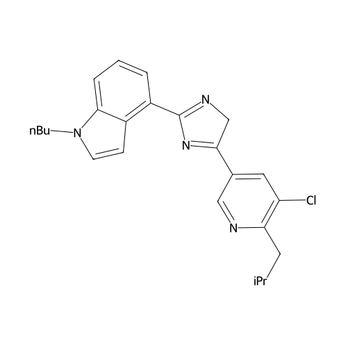 CCCCn1ccc2c(C3=NCC(c4cnc(CC(C)C)c(Cl)c4)=N3)cccc21